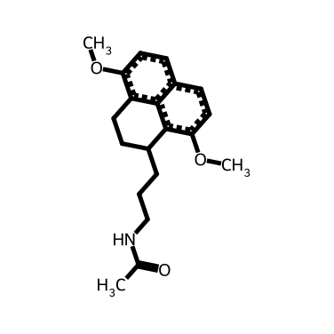 COc1ccc2ccc(OC)c3c2c1CCC3CCCNC(C)=O